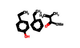 C=C(C)C(=O)OC.C=Cc1ccc(O)cc1.C=Cc1ccccc1